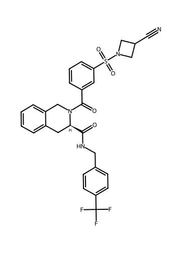 N#CC1CN(S(=O)(=O)c2cccc(C(=O)N3Cc4ccccc4C[C@@H]3C(=O)NCc3ccc(C(F)(F)F)cc3)c2)C1